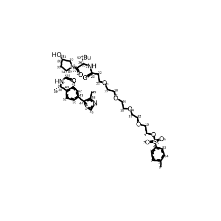 Cc1ccc(S(=O)(=O)OCCOCCOCCOCCOCCC(=O)N[C@H](C(=O)N2C[C@H](O)C[C@H]2C(=O)N[C@@H](C)c2ccc(-c3scnc3C)cc2)C(C)(C)C)cc1